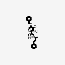 CC(CCc1ccccc1)NCC(O)c1cc(=O)c(OCc2ccccc2)co1.Cl